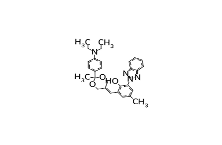 CCN(CC)c1ccc(C2(C)OCC(=Cc3cc(C)cc(-n4nc5ccccc5n4)c3O)CO2)cc1